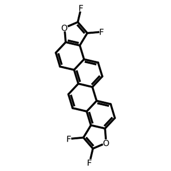 Fc1oc2ccc3c4ccc5c(ccc6oc(F)c(F)c65)c4ccc3c2c1F